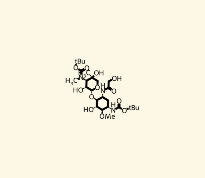 CO[C@H]1[C@H](O)[C@@H](O[C@H]2OC[C@](C)(O)[C@H](N(C)C(=O)OC(C)(C)C)[C@H]2O)[C@H](NC(=O)CO)C[C@@H]1NC(=O)OC(C)(C)C